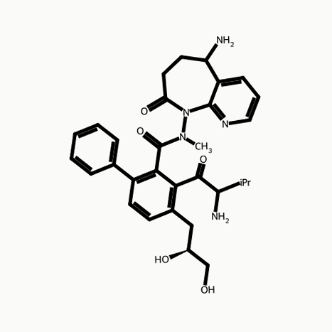 CC(C)C(N)C(=O)c1c(C[C@H](O)CO)ccc(-c2ccccc2)c1C(=O)N(C)N1C(=O)CCC(N)c2cccnc21